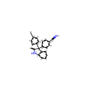 C=C1Nc2ccccc2C1(c1ccc(C)cc1)c1ccc(C#N)cc1